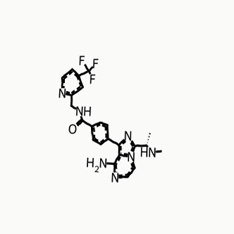 CN[C@@H](C)c1nc(-c2ccc(C(=O)NCc3cc(C(F)(F)F)ccn3)cc2)c2c(N)nccn12